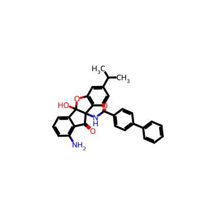 CC(C)c1ccc2c(c1)OC1(O)c3cccc(N)c3C(=O)C21NC(=O)c1ccc(-c2ccccc2)cc1